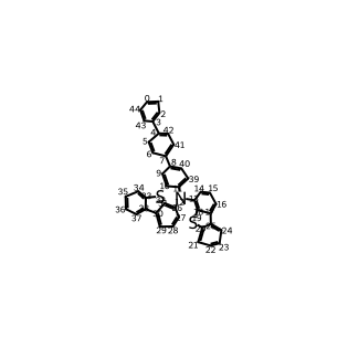 c1ccc(-c2ccc(-c3ccc(N(c4cccc5c4sc4ccccc45)c4cccc5c4sc4ccccc45)cc3)cc2)cc1